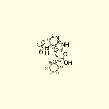 CS(=O)(=O)Nc1ccnc2[nH]cc(C=C(C(=O)O)c3ccccc3)c12